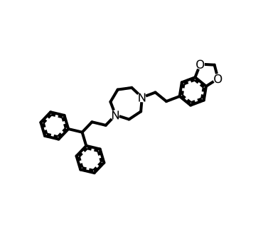 c1ccc(C(CCN2CCCN(CCc3ccc4c(c3)OCO4)CC2)c2ccccc2)cc1